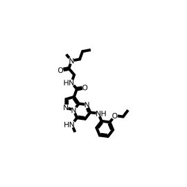 CCCN(C)C(=O)CNC(=O)c1cnn2c(NC)cc(Nc3ccccc3OCC)nc12